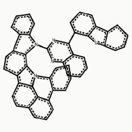 c1ccc2c(-c3cccc4c3sc3ccccc34)nc(-n3c4ccccc4c4ccc5c6ccc7cccc8c9ccccc9n(c6c78)c5c43)nc2c1